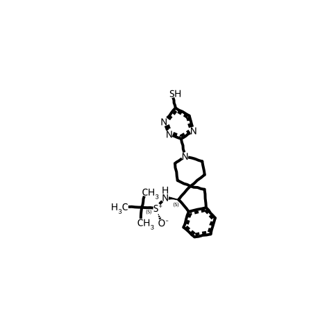 CC(C)(C)[S@@+]([O-])N[C@@H]1c2ccccc2CC12CCN(c1ncc(S)nn1)CC2